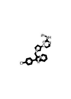 CC(C)NC(=O)/N=C\COC1CCN(Cc2c(-c3ccc(Cl)cc3)nc3ccccn23)C1